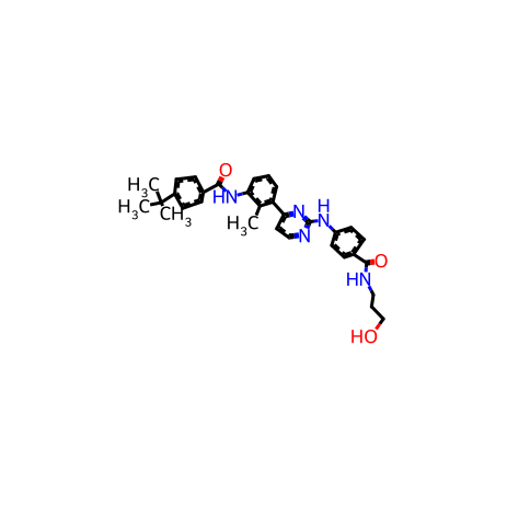 Cc1c(NC(=O)c2ccc(C(C)(C)C)cc2)cccc1-c1ccnc(Nc2ccc(C(=O)NCCCO)cc2)n1